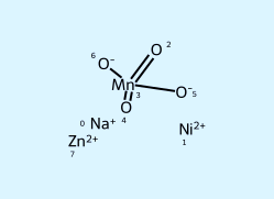 [Na+].[Ni+2].[O]=[Mn](=[O])([O-])[O-].[Zn+2]